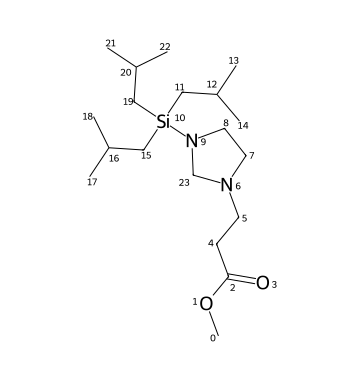 COC(=O)CCN1CCN([Si](CC(C)C)(CC(C)C)CC(C)C)C1